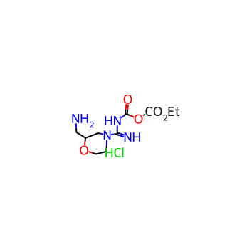 CCOC(=O)OC(=O)NC(=N)N1CCOC(CN)C1.Cl